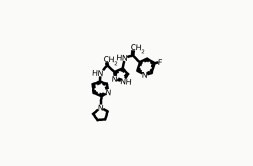 C=C(Nc1c[nH]nc1C(=C)Nc1ccc(N2CCCC2)nc1)c1cncc(F)c1